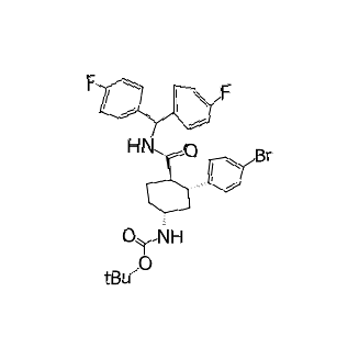 CC(C)(C)OC(=O)N[C@@H]1CC[C@@H](C(=O)NC(c2ccc(F)cc2)c2ccc(F)cc2)[C@H](c2ccc(Br)cc2)C1